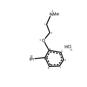 CNCCOc1ccccc1C(C)C.Cl